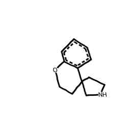 c1ccc2c(c1)OCCC21CCNC1